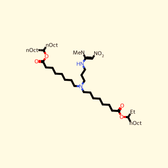 CCCCCCCCC(CC)OC(=O)CCCCCCCN(CCCCCCCC(=O)OC(CCCCCCCC)CCCCCCCC)CCCNC(=C[N+](=O)[O-])NC